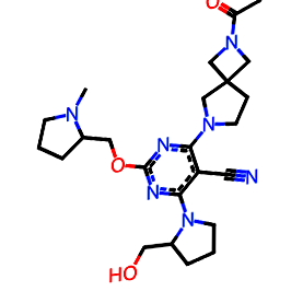 C=CC(=O)N1CC2(CCN(c3nc(OCC4CCCN4C)nc(N4CCCC4CO)c3C#N)C2)C1